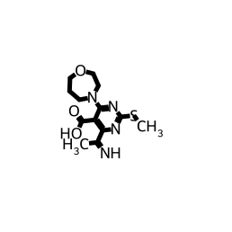 CSc1nc(C(C)=N)c(C(=O)O)c(N2CCCOCC2)n1